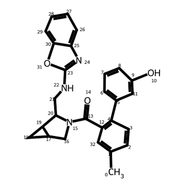 Cc1ccc(-c2cccc(O)c2)c(C(=O)N2CC3CC3C2CNc2nc3ccccc3o2)c1